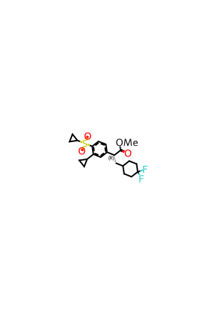 COC(=O)[C@H](CC1CCC(F)(F)CC1)c1ccc(S(=O)(=O)C2CC2)c(C2CC2)c1